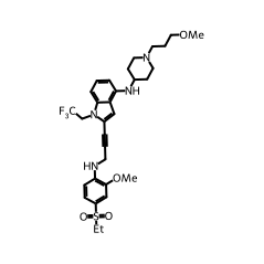 CCS(=O)(=O)c1ccc(NCC#Cc2cc3c(NC4CCN(CCCOC)CC4)cccc3n2CC(F)(F)F)c(OC)c1